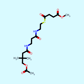 COC(=O)CCC(=O)SCCNC(=O)CCNC(=O)CC(C)(C)COC(C)=O